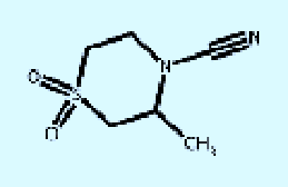 CC1CS(=O)(=O)CCN1C#N